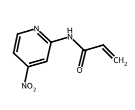 C=CC(=O)Nc1cc([N+](=O)[O-])ccn1